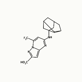 O=C(O)c1cc2nc(NC34CC5CC(CC(C5)C3)C4)cc(C(F)(F)F)n2n1